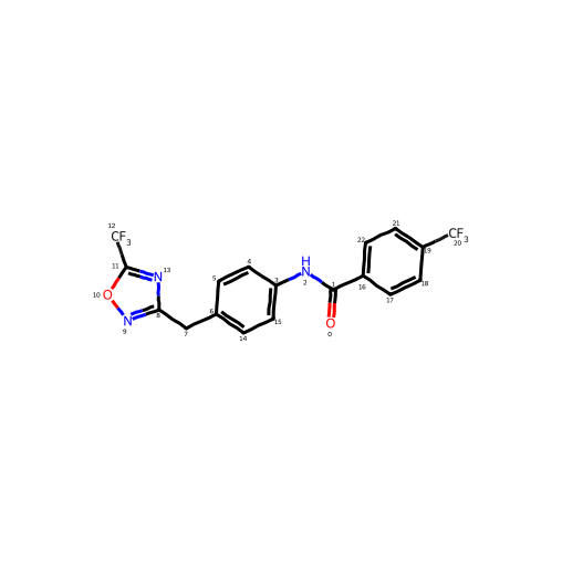 O=C(Nc1ccc(Cc2noc(C(F)(F)F)n2)cc1)c1ccc(C(F)(F)F)cc1